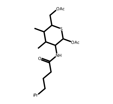 CC(=O)OCC1SC(OC(C)=O)C(NC(=O)CCCC(C)C)C(C)C1C